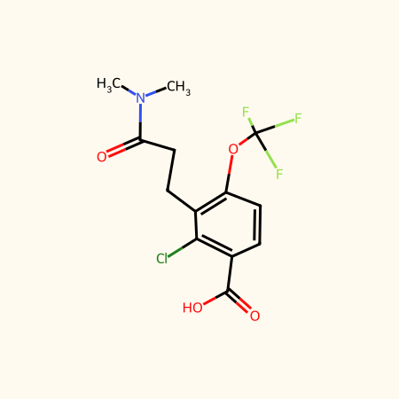 CN(C)C(=O)CCc1c(OC(F)(F)F)ccc(C(=O)O)c1Cl